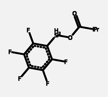 CC(C)C(=O)O[SiH2]c1c(F)c(F)c(F)c(F)c1F